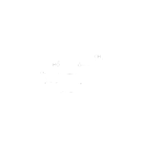 CCOC1C=CC=C(C=O)C1O